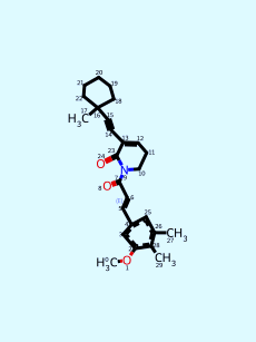 COc1cc(/C=C/C(=O)N2CCC=C(C#CC3(C)CCCCC3)C2=O)cc(C)c1C